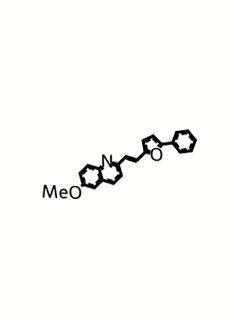 COc1ccc2nc(/C=C/c3ccc(-c4ccccc4)o3)ccc2c1